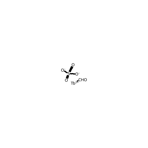 O=S(=O)([O-])[O-].O=[CH][Tb+2]